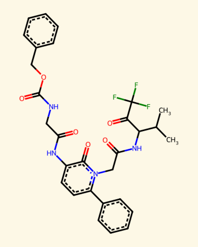 CC(C)C(NC(=O)Cn1c(-c2ccccc2)ccc(NC(=O)CNC(=O)OCc2ccccc2)c1=O)C(=O)C(F)(F)F